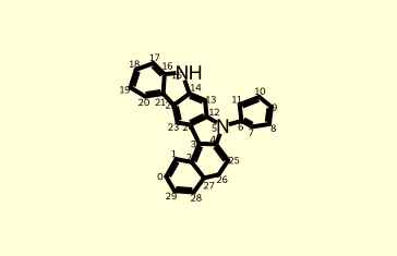 C1=CC2=c3c(n(-c4ccccc4)c4cc5[nH]c6ccccc6c5cc34)=CCC2C=C1